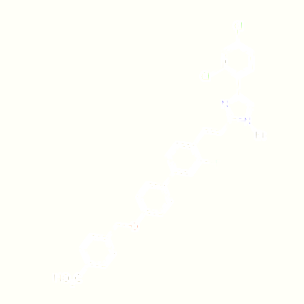 CCn1cc(-c2ccc(Cl)cc2Cl)nc1C=Cc1ccc(-c2ccc(OCc3ccc(C(=O)O)cc3)cc2)cc1F